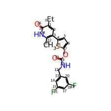 CCc1cc(-c2ccc(OC(=O)NCc3cc(F)cc(F)c3)s2)c(C)[nH]c1=O